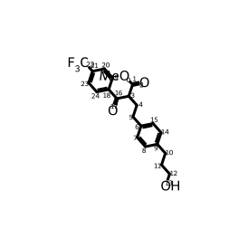 COC(=O)C(CCc1ccc(CCCO)cc1)C(=O)c1ccc(C(F)(F)F)cc1